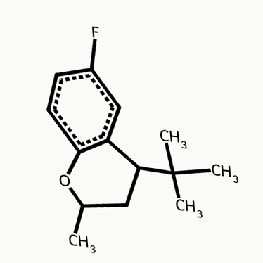 CC1CC(C(C)(C)C)c2cc(F)ccc2O1